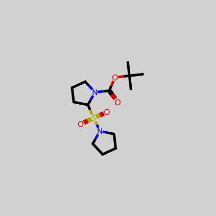 CC(C)(C)OC(=O)N1CCCC1S(=O)(=O)N1CCCC1